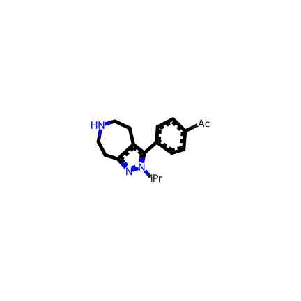 CC(=O)c1ccc(-c2c3c(nn2C(C)C)CCNCC3)cc1